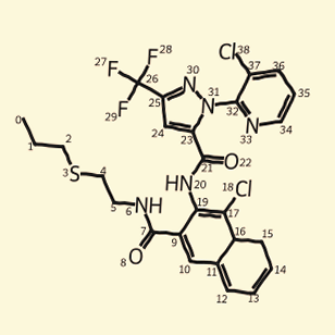 CCCSCCNC(=O)C1=CC2=CC=CCC2C(Cl)=C1NC(=O)c1cc(C(F)(F)F)nn1-c1ncccc1Cl